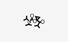 CC(C)C(=O)C1(OC(=O)N(C(C)C)C(C)C)CC1